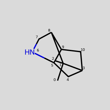 CC1(C)C2CC3NCC1C3C2